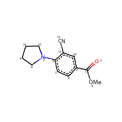 COC(=O)c1ccc(N2CCCC2)c(C#N)c1